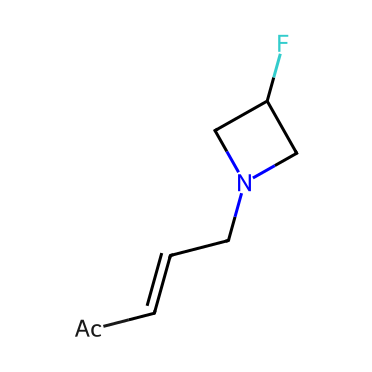 CC(=O)/C=C/CN1CC(F)C1